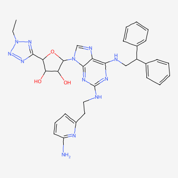 CCn1nnc(C2OC(n3cnc4c(NCC(c5ccccc5)c5ccccc5)nc(NCCc5cccc(N)n5)nc43)C(O)C2O)n1